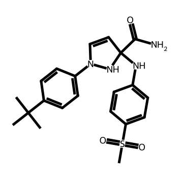 CC(C)(C)c1ccc(N2C=CC(Nc3ccc(S(C)(=O)=O)cc3)(C(N)=O)N2)cc1